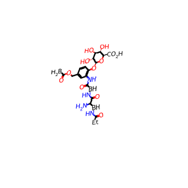 BC(=O)OCc1ccc(O[C@@H]2O[C@H](C(=O)O)[C@@H](O)[C@H](O)[C@H]2O)c(NC(=O)BNC(=O)C(N)BNC(=O)CC)c1